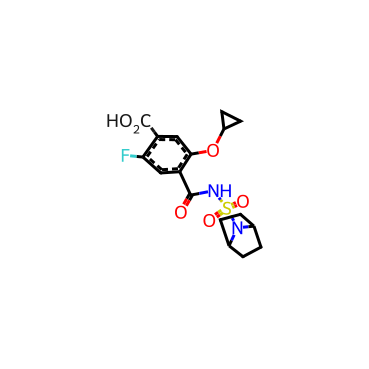 O=C(O)c1cc(OC2CC2)c(C(=O)NS(=O)(=O)N2C3CCC2CC3)cc1F